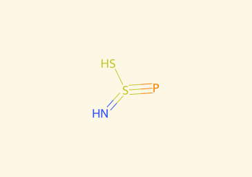 N=S(#P)S